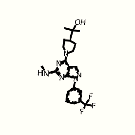 CNc1nc(N2CCC(C(C)(C)O)CC2)c2cnn(-c3cccc(C(F)(F)F)c3)c2n1